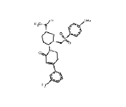 CSc1ccc(S(=O)(=O)C[C@@H]2C[C@H](N(C)C(C)C)CC[C@@H]2N2CCC(c3cccc(C(F)(F)F)c3)=CC2=O)cc1